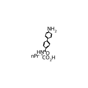 CCC[C@H](NC(=O)c1ccc(-c2ccc(N)cc2)cc1)C(=O)O